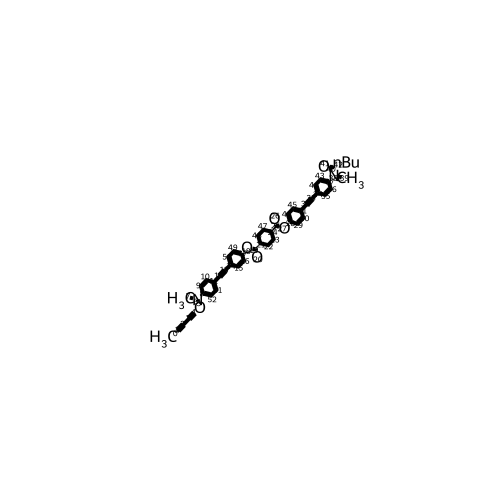 CC#CC#CON(C)c1ccc(C#Cc2ccc(OC(=O)[C@H]3CC[C@H](C(=O)Oc4ccc(C#Cc5ccc(N(C)C(=O)CCCC)cc5)cc4)CC3)cc2)cc1